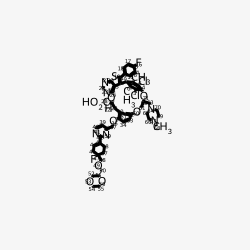 Cc1c(Cl)c2c(Cl)c(C)c1-c1c(-c3ccc(F)cc3)sc3ncnc(c13)O[C@@H](C(=O)O)Cc1cc(ccc1OCc1ccnc(C3=CC[C@@](F)(COC[C@H]4COCCO4)CC3)n1)OCC(CN1CCN(C)CC1)O2